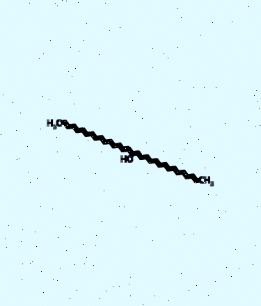 CCCCCCCCCCCCCCC=CC(O)CCCCCCCCCCCCCCC